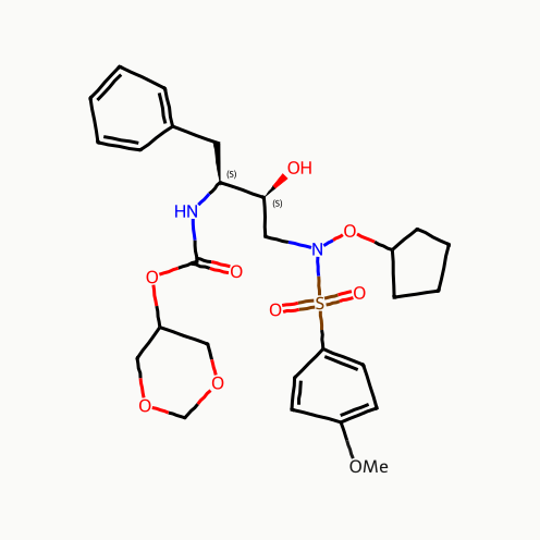 COc1ccc(S(=O)(=O)N(C[C@H](O)[C@H](Cc2ccccc2)NC(=O)OC2COCOC2)OC2CCCC2)cc1